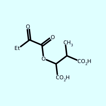 CCC(=O)C(=O)OC(C(=O)O)C(C)C(=O)O